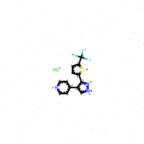 Cl.FC(F)(F)c1ccc(-c2n[nH]cc2-c2ccncc2)s1